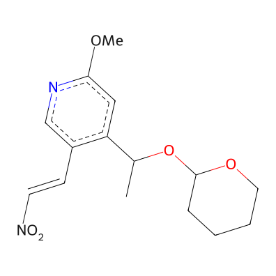 COc1cc(C(C)OC2CCCCO2)c(/C=C/[N+](=O)[O-])cn1